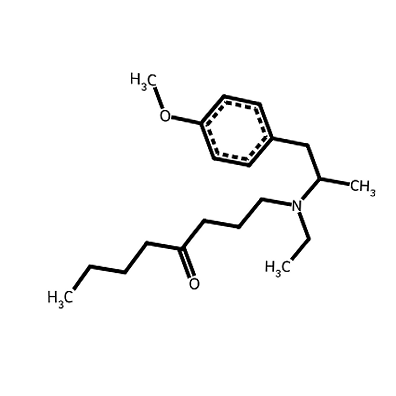 CCCCC(=O)CCCN(CC)C(C)Cc1ccc(OC)cc1